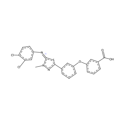 Cn1nc(-c2cccc(Oc3cccc(C(=O)O)c3)c2)s/c1=N/c1ccc(Cl)c(Cl)c1